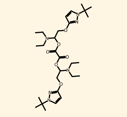 CCN(CC)C(COc1ccn(C(C)(C)C)n1)OC(=O)C(=O)OC(COc1ccn(C(C)(C)C)n1)N(CC)CC